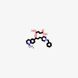 CN1CCCc2cc(C(=O)CCC3CCN(Cc4ccccc4)CC3)ccc21.O=C(O)/C=C/C(=O)O